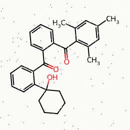 Cc1cc(C)c(C(=O)c2ccccc2C(=O)c2ccccc2C2(O)CCCCC2)c(C)c1